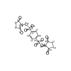 O=C1CCC(=O)N1OS(=O)(=O)c1ccc(S(=O)(=O)ON2C(=O)CCC2=O)cc1